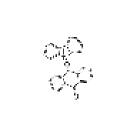 O=C1c2ccccc2C(=O)c2ccccc21.c1ccc2c(c1)[nH]c1ccccc12